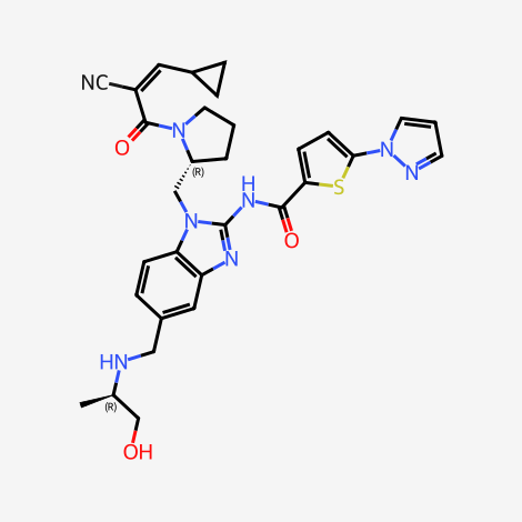 C[C@H](CO)NCc1ccc2c(c1)nc(NC(=O)c1ccc(-n3cccn3)s1)n2C[C@H]1CCCN1C(=O)C(C#N)=CC1CC1